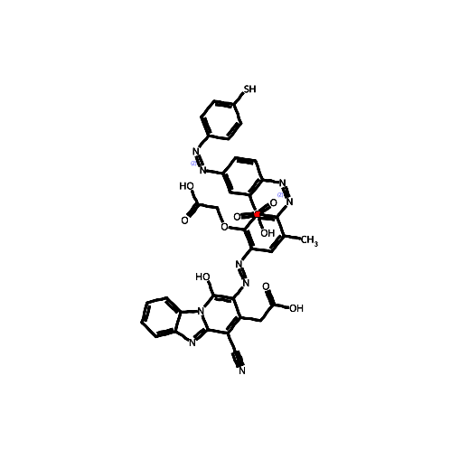 Cc1cc(N=Nc2c(CC(=O)O)c(C#N)c3nc4ccccc4n3c2O)c(OCC(=O)O)cc1/N=N\c1ccc(/N=N\c2ccc(S)cc2)cc1S(=O)(=O)O